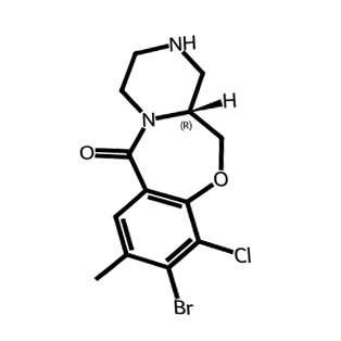 Cc1cc2c(c(Cl)c1Br)OC[C@H]1CNCCN1C2=O